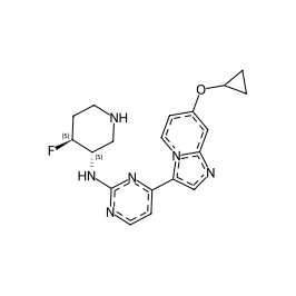 F[C@H]1CCNC[C@@H]1Nc1nccc(-c2cnc3cc(OC4CC4)ccn23)n1